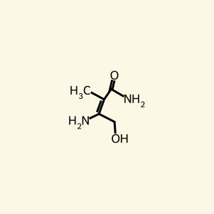 CC(C(N)=O)=C(N)CO